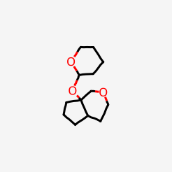 C1CCC(OC23CCCC2CCOC3)OC1